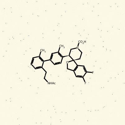 CC(=O)NCCc1cccc(C)c1-c1ccc([C@H]2CN(C(=O)O)CC[C@@]23OCc2cc(F)c(F)cc23)c(C)c1